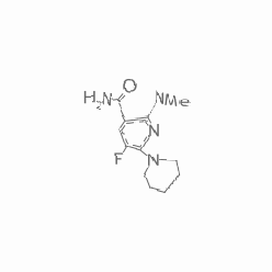 CNc1nc(N2CCCCC2)c(F)cc1C(N)=O